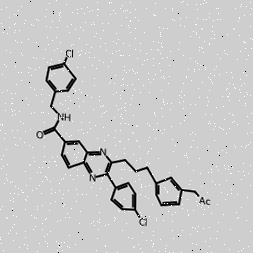 CC(=O)Cc1cccc(CCCc2nc3cc(C(=O)NCc4ccc(Cl)cc4)ccc3nc2-c2ccc(Cl)cc2)c1